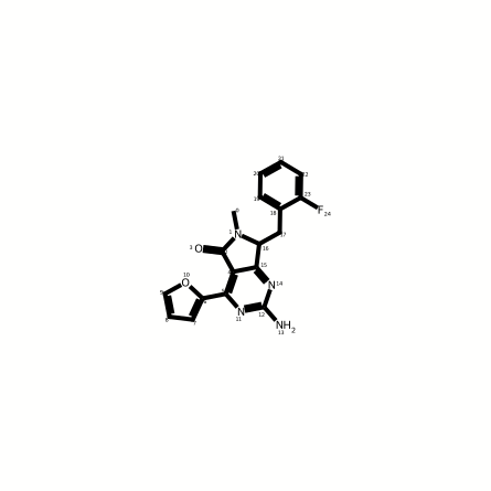 CN1C(=O)c2c(-c3ccco3)nc(N)nc2C1Cc1ccccc1F